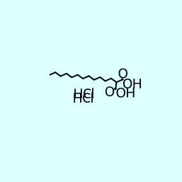 CCCCCCCCCCCCC(C(=O)O)C(=O)O.Cl.Cl